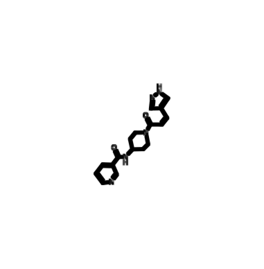 O=C(NC1CCN(C(=O)/C=C\c2cn[nH]c2)CC1)c1cccnc1